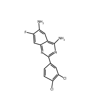 Nc1cc2c(N)nc(-c3ccc(Cl)c(Cl)c3)nc2cc1F